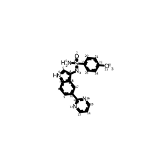 NS(=O)(=Nc1c[nH]c2ccc(-c3ncccn3)cc12)c1ccc(C(F)(F)F)cc1